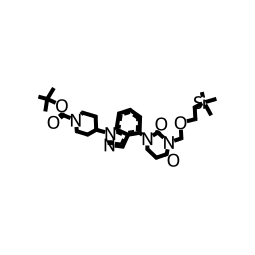 CC(C)(C)OC(=O)N1CCC(n2ncc3c(N4CCC(=O)N(COCC[Si](C)(C)C)C4=O)cccc32)CC1